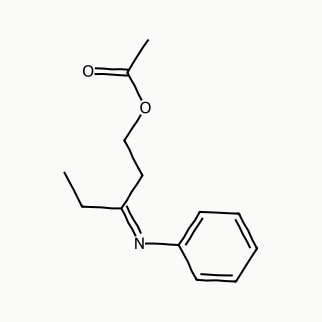 CCC(CCOC(C)=O)=Nc1ccccc1